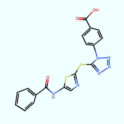 O=C(O)c1ccc(-n2nnnc2Sc2ncc(NC(=O)c3ccccc3)s2)cc1